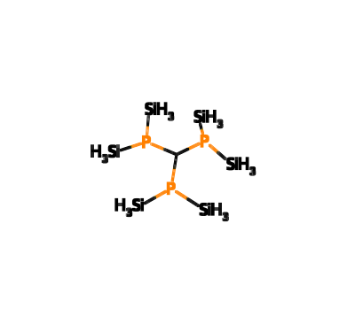 [SiH3]P([SiH3])C(P([SiH3])[SiH3])P([SiH3])[SiH3]